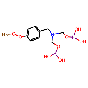 OP(O)OCN(COP(O)O)Cc1ccc(OOS)cc1